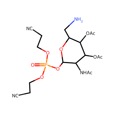 CC(=O)NC1C(OP(=O)(OCCC#N)OCCC#N)OC(CN)C(OC(C)=O)C1OC(C)=O